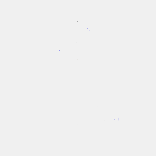 Cc1c(-c2cccc(CC(N)=O)c2)cccc1-c1nc2c(s1)CNCC2